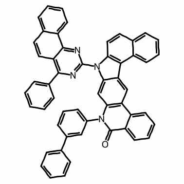 O=c1c2ccccc2c2cc3c4c5ccccc5ccc4n(-c4nc(-c5ccccc5)c5ccc6ccccc6c5n4)c3cc2n1-c1cccc(-c2ccccc2)c1